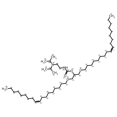 CCCCCCCC/C=C\CCCCCCCCOCC(COCCCCCCCC/C=C\CCCCCCCC)OC(=O)NCCN(C(C)C)C(C)C